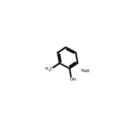 Cc1ccccc1O.[NaH]